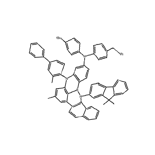 Cc1cc2c3c(c1)N(c1ccc(-c4ccccc4)cc1C)c1cc(N(c4ccc(CC(C)C)cc4)c4ccc(C(C)(C)C)cc4)ccc1B3N(c1ccc3c(c1)C(C)(C)c1ccccc1-3)c1c-2ccc2ccccc12